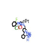 CCCc1cn(-c2c(F)cccc2Cl)c(=O)n1Cc1ccc(-c2ccccc2-c2nnn[nH]2)nc1